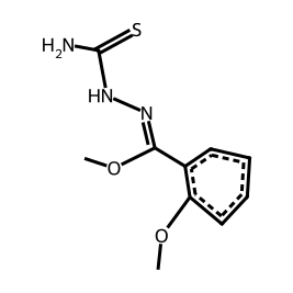 COC(=NNC(N)=S)c1ccccc1OC